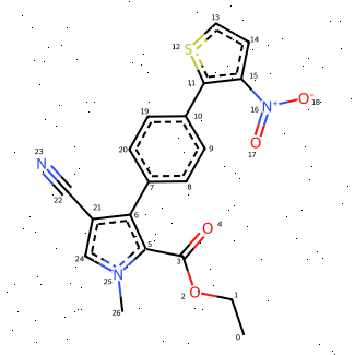 CCOC(=O)c1c(-c2ccc(-c3sccc3[N+](=O)[O-])cc2)c(C#N)cn1C